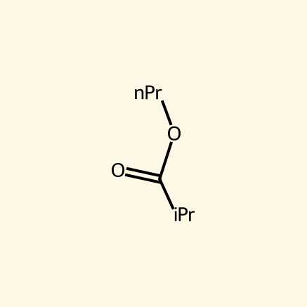 C[CH]COC(=O)C(C)C